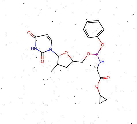 CC1CC(COP(N[C@@H](C)C(=O)OC2CC2)Oc2ccccc2)OC1n1ccc(=O)[nH]c1=O